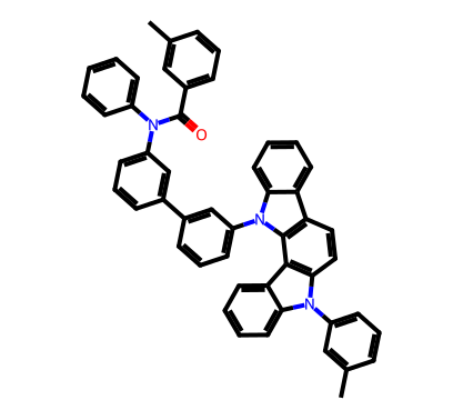 Cc1cccc(C(=O)N(c2ccccc2)c2cccc(-c3cccc(-n4c5ccccc5c5ccc6c(c7ccccc7n6-c6cccc(C)c6)c54)c3)c2)c1